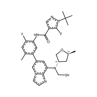 Cc1cc(F)c(NC(=O)c2cnn(C(C)(C)C)c2F)cc1-c1cc(N(CS)[C@@H]2CO[C@@H](C)C2)c2nccn2c1